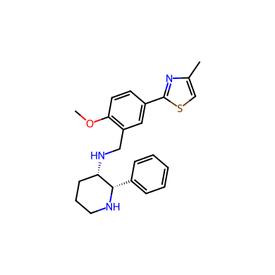 COc1ccc(-c2nc(C)cs2)cc1CN[C@H]1CCCN[C@H]1c1ccccc1